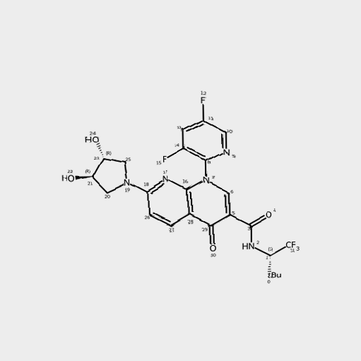 CC(C)(C)[C@H](NC(=O)c1cn(-c2ncc(F)cc2F)c2nc(N3C[C@@H](O)[C@H](O)C3)ccc2c1=O)C(F)(F)F